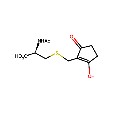 CC(=O)N[C@@H](CSCC1=C(O)CCC1=O)C(=O)O